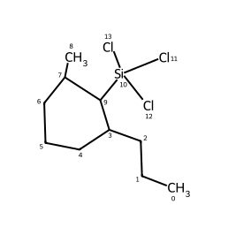 CCCC1CCCC(C)C1[Si](Cl)(Cl)Cl